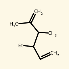 C=CC(CC)[C](C)C(=C)C